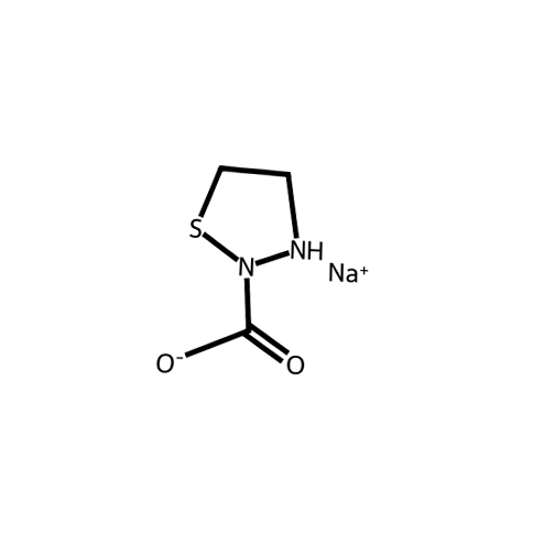 O=C([O-])N1NCCS1.[Na+]